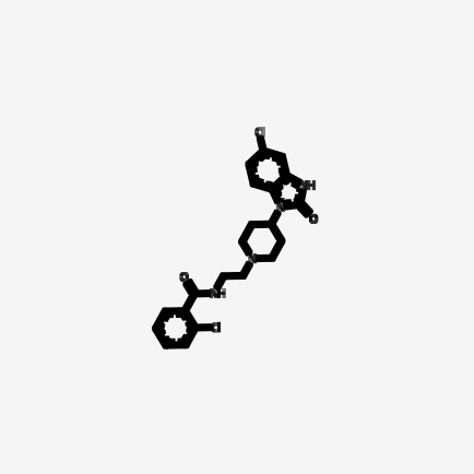 O=C(NCCN1CCC(n2c(=O)[nH]c3cc(Cl)ccc32)CC1)c1ccccc1Cl